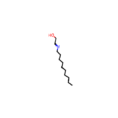 CCCCCCCCCCN=CCO